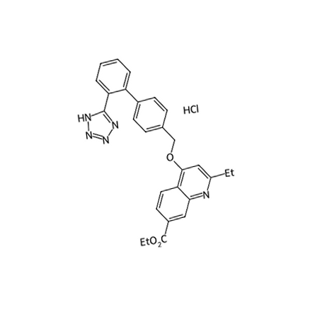 CCOC(=O)c1ccc2c(OCc3ccc(-c4ccccc4-c4nnn[nH]4)cc3)cc(CC)nc2c1.Cl